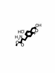 COC(=O)C(N)Cc1ccc(CC(=O)O)c(F)c1.Cl